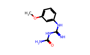 COc1cccc(NC(=N)NC(N)=O)c1